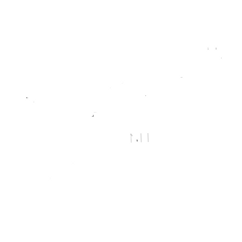 CC(=O)OCC1OC(OCCCC(=O)O)C(N)C(O)C1O